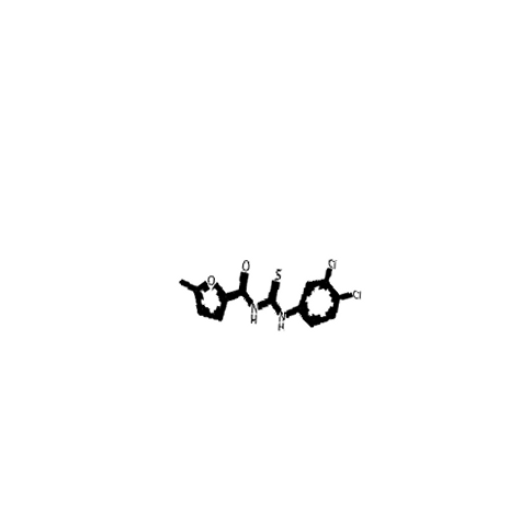 Cc1ccc(C(=O)NC(=S)Nc2ccc(Cl)c(Cl)c2)o1